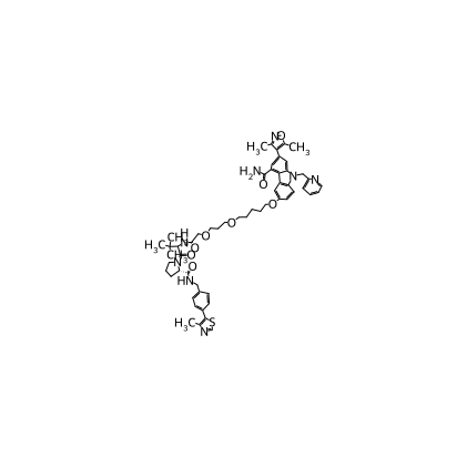 Cc1ncsc1-c1ccc(CNC(=O)[C@@H]2CCCN2C(=O)C(NC(=O)COCCCOCCCCCOc2ccc3c(c2)c2c(C(N)=O)cc(-c4c(C)noc4C)cc2n3Cc2ccccn2)C(C)(C)C)cc1